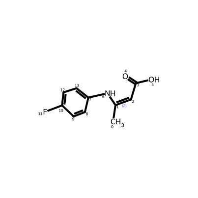 C/C(=C/C(=O)O)Nc1ccc(F)cc1